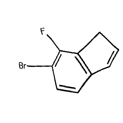 Fc1c(Br)ccc2c1CC=C2